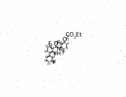 CCOC(=O)COc1ccc(F)c(NC(=O)c2c(F)ccc(-c3cccc(F)c3)c2F)c1F